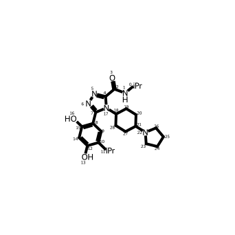 CC(C)NC(=O)c1nnc(-c2cc(C(C)C)c(O)cc2O)n1C1CCC(N2CCCC2)CC1